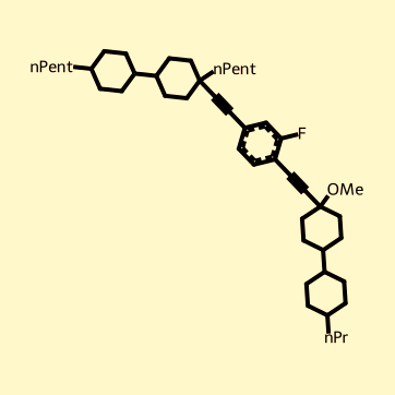 CCCCCC1CCC(C2CCC(C#Cc3ccc(C#CC4(OC)CCC(C5CCC(CCC)CC5)CC4)c(F)c3)(CCCCC)CC2)CC1